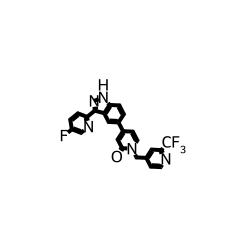 O=c1cc(-c2ccc3[nH]nc(-c4ccc(F)cn4)c3c2)ccn1Cc1ccnc(C(F)(F)F)c1